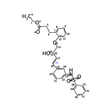 CCOC(=O)CCc1ccccc1OC[C@@H](O)/C=C/c1cccc(NS(=O)(=O)c2ccccc2)c1